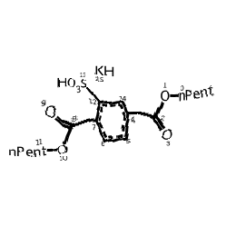 CCCCCOC(=O)c1ccc(C(=O)OCCCCC)c(S(=O)(=O)O)c1.[KH]